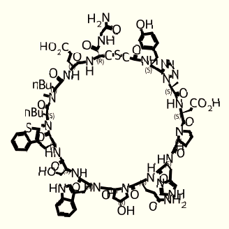 CCCC[C@H]1C(=O)N(C)[C@@H](CCCC)C(=O)N[C@@H](CCC(=O)O)C(=O)N[C@H](C(=O)NCC(N)=O)CSCC(=O)N[C@@H](Cc2ccc(O)cc2)c2nnnn2[C@@H](C)C(=O)N[C@@H](CC(=O)O)C(=O)N2CCC[C@H]2C(=O)N[C@@H](Cc2c[nH]cn2)C(=O)N[C@@H](CCC(N)=O)C(=O)N2C[C@H](O)C[C@H]2C(=O)N[C@@H](Cc2c[nH]c3ccccc23)C(=O)N[C@@H](CO)C(=O)N[C@@H](Cc2csc3ccccc23)C(=O)N1C